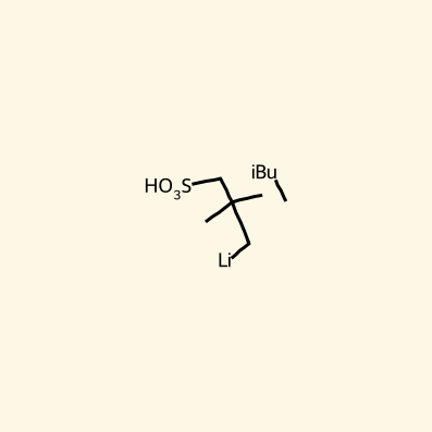 CCC(C)C.[Li][CH2]C(C)(C)CS(=O)(=O)O